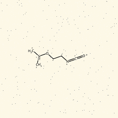 C[SiH](C)OCCN=C=O